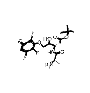 C[C@H](N)C(=O)N[C@@H](CC(=O)OC(C)(C)C)C(O)COc1c(F)c(F)cc(F)c1F